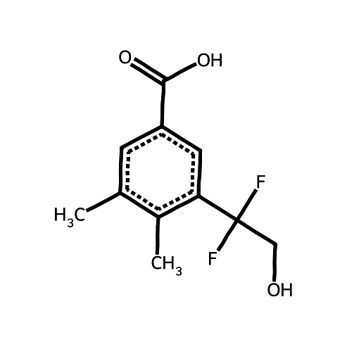 Cc1cc(C(=O)O)cc(C(F)(F)CO)c1C